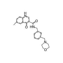 Cc1ccc2[nH]cc(C(=O)NCc3cccc(CN4CCOCC4)c3)c(=O)c2c1